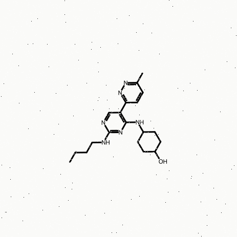 CCCCNc1ncc(-c2ccc(C)nn2)c(NC2CCC(O)CC2)n1